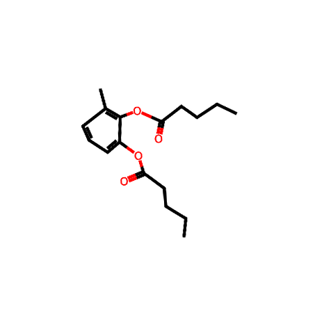 CCCCC(=O)Oc1cccc(C)c1OC(=O)CCCC